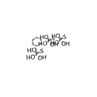 OP(O)(O)=S.OP(O)(O)=S.OP(O)(O)=S.c1ccccc1